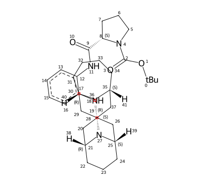 CC(C)(C)OC(=O)N1CCC[C@H]1C(=O)Nc1ccccc1N[C@H]1C[C@H]2CCC[C@@H](C1)N2[C@@H]1C[C@@H]2CCCC[C@@H](C2)C1